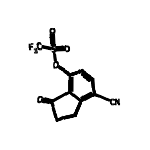 N#Cc1ccc(OS(=O)(=O)C(F)(F)F)c2c1CCC2=O